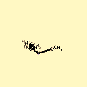 CCCCCCCCCCCCC/C=C\CCCCOP(=O)(O)C(CCC)[N+](C)(C)C